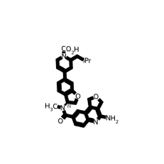 CC(C)CC1CC(c2ccc3c(c2)OC[C@H]3N(C)C(=O)c2ccc3nc(N)c4c(c3c2)COC4)=CCN1C(=O)O